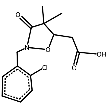 CC1(C)C(=O)N(Cc2ccccc2Cl)OC1CC(=O)O